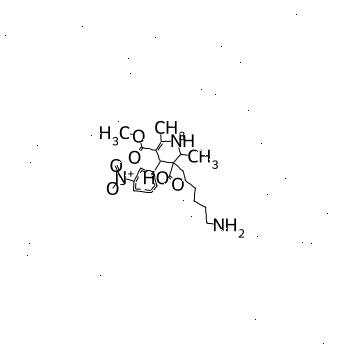 COC(=O)C1=C(C)NC(C)C(CCCCCCN)(C(=O)O)C1c1cccc([N+](=O)[O-])c1